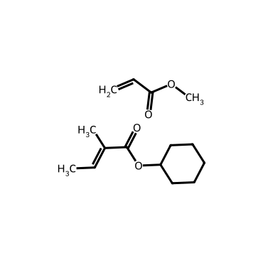 C=CC(=O)OC.CC=C(C)C(=O)OC1CCCCC1